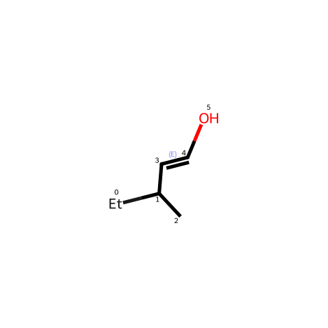 CCC(C)/C=C/O